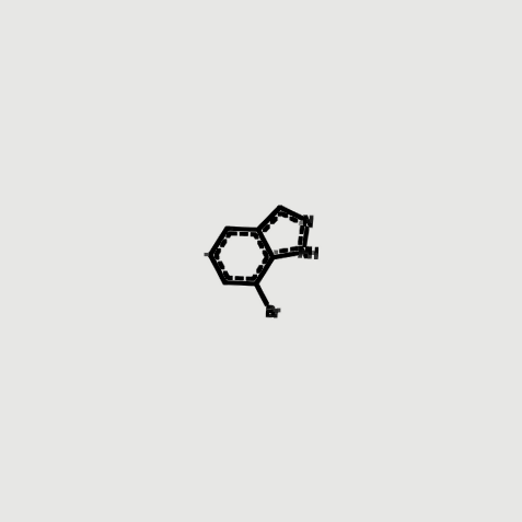 Brc1c[c]cc2cn[nH]c12